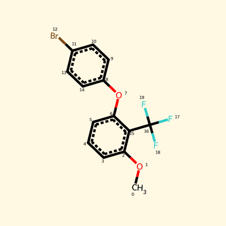 COc1cccc(Oc2ccc(Br)cc2)c1C(F)(F)F